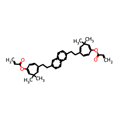 C=CC(=O)OC1=CC(C)(C)C=C(CCc2ccc3cc(CCC4=CC(C)(C)C=C(OC(=O)C=C)C=C4)ccc3c2)C=C1